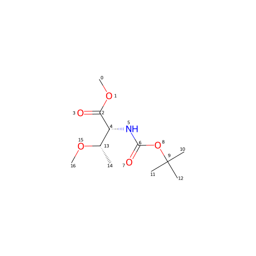 COC(=O)[C@H](NC(=O)OC(C)(C)C)[C@H](C)OC